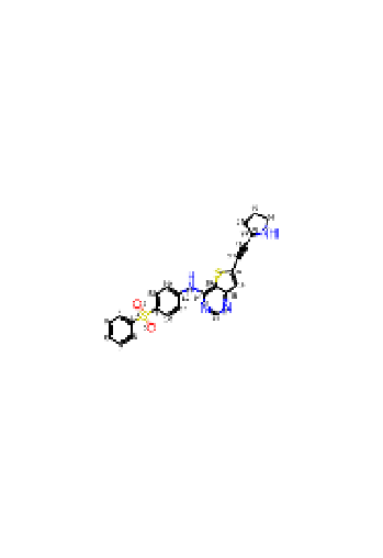 O=S(=O)(c1ccccc1)c1ccc(Nc2ncnc3cc(C#C[C@H]4CCCN4)sc23)cc1